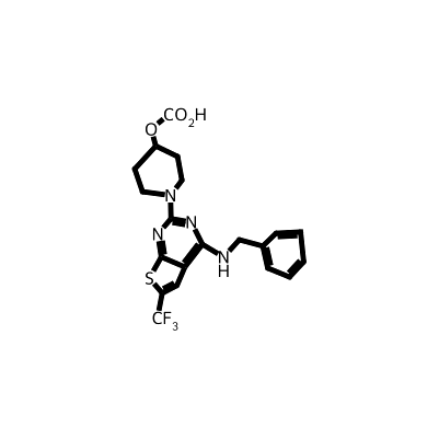 O=C(O)OC1CCN(c2nc(NCc3ccccc3)c3cc(C(F)(F)F)sc3n2)CC1